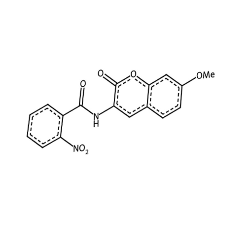 COc1ccc2cc(NC(=O)c3ccccc3[N+](=O)[O-])c(=O)oc2c1